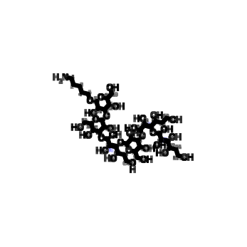 NCCCCCO[C@@H]1OC(CO)[C@H](O)C(OC2OC(CO)C(O)C(O[C@H](O)/C(O)=C(\OC3OC(CO)C(O)C(O[C@H](O)/C(O)=C(\OC(O)/C(O)=C(\O)C(O)CCO)[C@@H](O)CCO)C3O)[C@@H](O)CCO)C2O)C1O